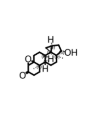 C[C@]12CCC(=O)C3OC31CC[C@@H]1[C@@H]2CC[C@]2(C)[C@@H](O)C[C@@H]3C[C@]312